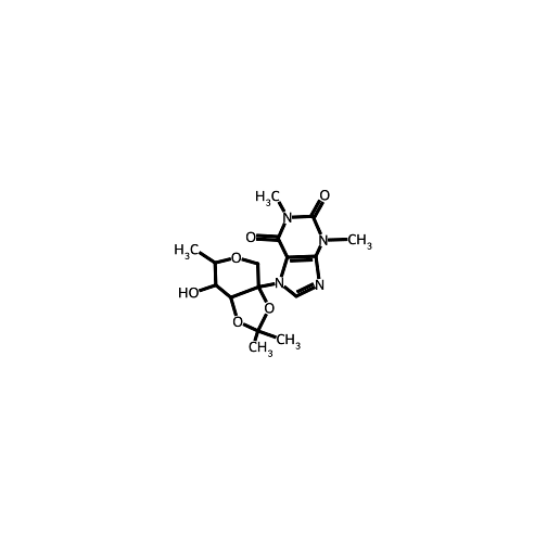 CC1OCC2(n3cnc4c3c(=O)n(C)c(=O)n4C)OC(C)(C)OC2C1O